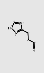 O=[C]CCc1nc[nH]n1